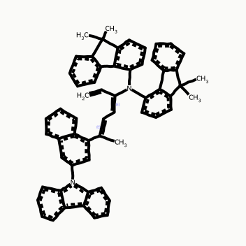 C=C/C(=C\C=C(/C)c1cc(-n2c3ccccc3c3ccccc32)cc2ccccc12)N(c1cccc2c1-c1ccccc1C2(C)C)c1cccc2c1-c1ccccc1C2(C)C